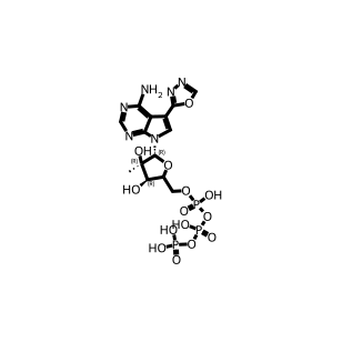 C[C@@]1(O)[C@H](O)C(COP(=O)(O)OP(=O)(O)OP(=O)(O)O)O[C@H]1n1cc(-c2nnco2)c2c(N)ncnc21